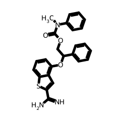 CN(C(=O)OCC(Oc1cccc2sc(C(=N)N)cc12)c1ccccc1)c1ccccc1